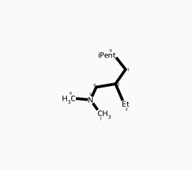 CCCC(C)CC(CC)CN(C)C